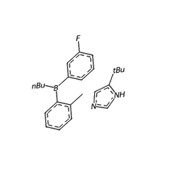 CC(C)(C)c1cnc[nH]1.CCCCB(c1cccc(F)c1)c1ccccc1C